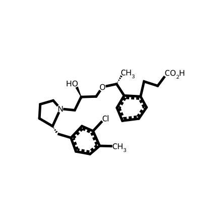 Cc1ccc(C[C@@H]2CCCN2C[C@@H](O)CO[C@H](C)c2ccccc2CCC(=O)O)cc1Cl